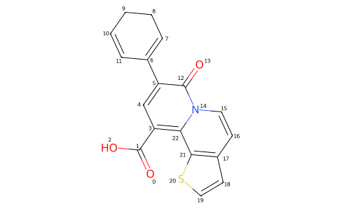 O=C(O)c1cc(C2=CCCC=C2)c(=O)n2ccc3ccsc3c12